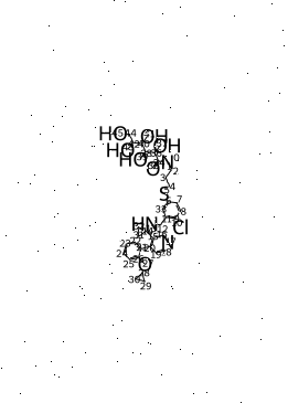 CN(CCCSc1ccc(Cl)c(CNC2(c3cnccc3-c3ccccc3OC3CC3)CC2)c1)C(=O)C(O)C(O)C(O)C(O)CO